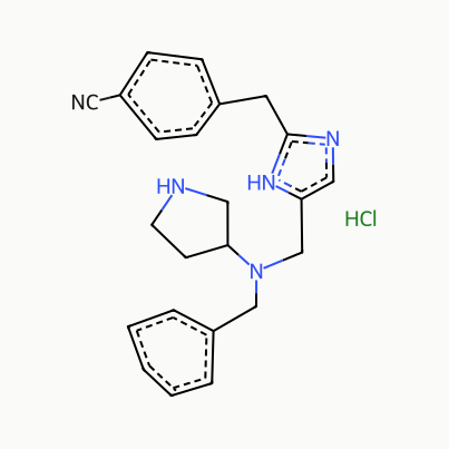 Cl.N#Cc1ccc(Cc2ncc(CN(Cc3ccccc3)C3CCNC3)[nH]2)cc1